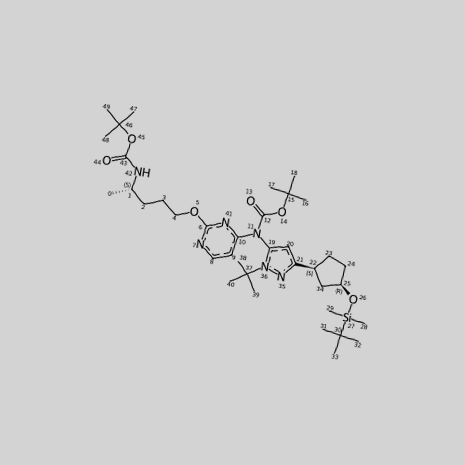 C[C@@H](CCCOc1nccc(N(C(=O)OC(C)(C)C)c2cc([C@H]3CC[C@@H](O[Si](C)(C)C(C)(C)C)C3)nn2C(C)(C)C)n1)NC(=O)OC(C)(C)C